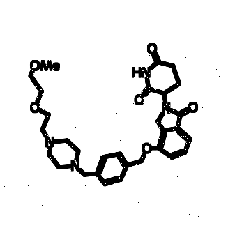 COCCOCCN1CCN(Cc2ccc(COc3cccc4c3CN(C3CCC(=O)NC3=O)C4=O)cc2)CC1